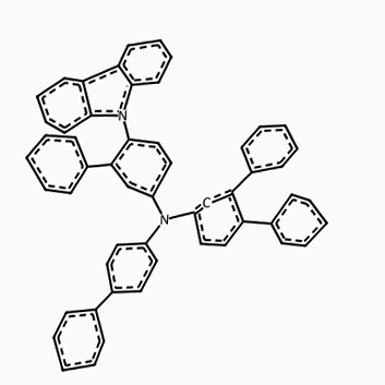 c1ccc(-c2ccc(N(c3ccc(-c4ccccc4)c(-c4ccccc4)c3)c3ccc(-n4c5ccccc5c5ccccc54)c(-c4ccccc4)c3)cc2)cc1